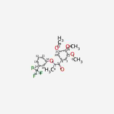 COc1cc(C(=O)C(C)Oc2cccc(C(F)(F)F)c2)cc(OC)c1OC